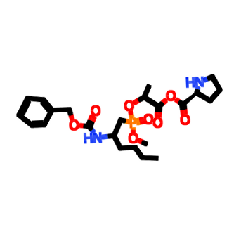 CCCCC(CP(=O)(OC)OC(C)C(=O)OC(=O)[C@@H]1CCCN1)NC(=O)OCc1ccccc1